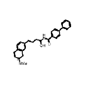 CN[C@H]1CCc2ccc(CCCC(O)NC(=O)c3ccc(-c4ccccc4)cc3)cc2C1